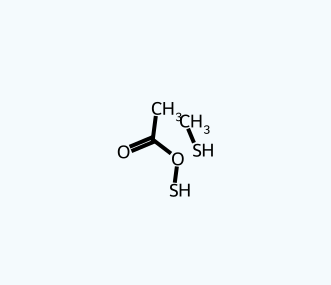 CC(=O)OS.CS